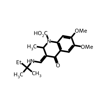 CCC(C)(C)NC=C1C(=O)c2cc(OC)c(OC)cc2N(C(=O)O)C1C